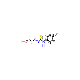 OCCCNC(=S)Nc1ccc(I)cc1